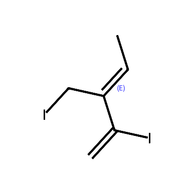 C=C(I)/C(=C/C)CI